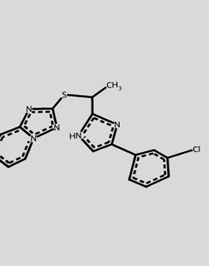 CC(Sc1nc2ccccn2n1)c1nc(-c2cccc(Cl)c2)c[nH]1